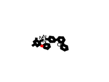 Cc1cc(C)c(-c2nnc(-c3ccc(-c4cccc5c4oc4ccccc45)cc3)n2-c2ccccc2)c(C)c1